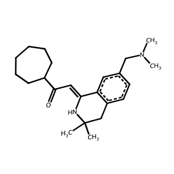 CN(C)Cc1ccc2c(c1)C(=CC(=O)C1CCCCCC1)NC(C)(C)C2